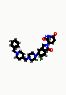 O=C1CCC(N2Cc3cc(N4CCN(CC5CCN(Cc6ccccc6)CC5)CC4)c(F)cc3C2=O)C(=O)N1